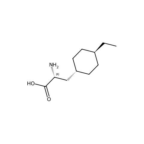 CC[C@H]1CC[C@H](C[C@@H](N)C(=O)O)CC1